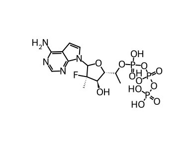 CC(OP(=O)(O)OP(=O)(O)OP(=O)(O)O)[C@H]1OC(n2ccc3c(N)ncnc32)[C@](C)(F)[C@@H]1O